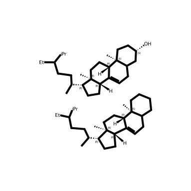 CCC(CCC(C)[C@H]1CC[C@H]2C3=CCC4CCCC[C@]4(C)[C@H]3CC[C@]12C)C(C)C.CCC(CCC(C)[C@H]1CC[C@H]2C3=CCC4C[C@@H](O)CC[C@]4(C)[C@H]3CC[C@]12C)C(C)C